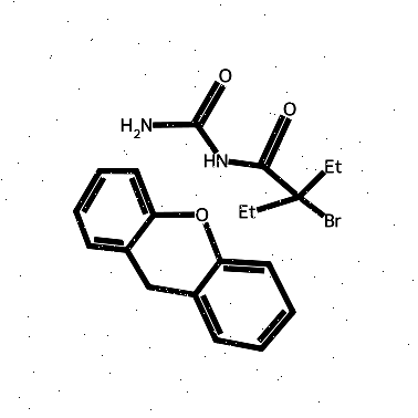 CCC(Br)(CC)C(=O)NC(N)=O.c1ccc2c(c1)Cc1ccccc1O2